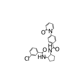 O=C(N[C@H]1CCC[C@H]1NC(=O)c1cccc(Cl)c1)c1ccc(-n2ccccc2=O)cc1